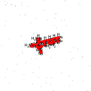 Cc1cn(CC(=O)N(CCNC(=O)CN(CCNC(=O)CN(CCNC(=O)CN(CCNC(=O)CN(CCNC(=O)CN(CCNC(=O)C2=CC(=O)C(=O)C=C2)C(=O)Cn2cc(C)c(=O)[nH]c2=O)C(=O)Cn2cnc3c(N)ncnc32)C(=O)Cn2cnc3c(=O)[nH]c(N)nc32)C(=O)Cn2ccc(N)nc2=O)C(=O)Cn2cnc3c(N)ncnc32)CC(=O)NCCN(CC(=O)NC(C)C)C(=O)Cn2cc(C)c(=O)[nH]c2=O)c(=O)[nH]c1=O